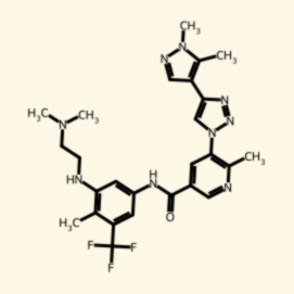 Cc1ncc(C(=O)Nc2cc(NCCN(C)C)c(C)c(C(F)(F)F)c2)cc1-n1cc(-c2cnn(C)c2C)nn1